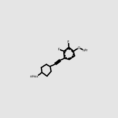 CCCCCCC1CCC(C#Cc2ccc(OCCC)c(F)c2F)CC1